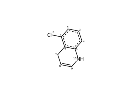 Clc1cccc2c1CC=[C]N2